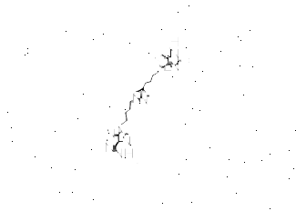 Nc1ncnc2c1ncn2CCCCCn1cc(CCCC[C@@H]2SC[C@@H]3NC(=O)N[C@@H]32)nn1